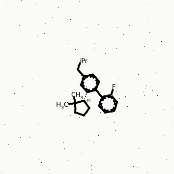 CC(C)Cc1ccc(-c2ccccc2F)c([C@@H]2CCCC2(C)C)c1